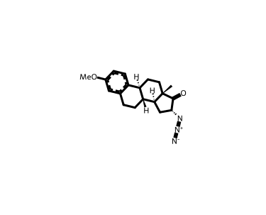 COc1ccc2c(c1)CC[C@@H]1[C@@H]2CC[C@]2(C)C(=O)[C@H](N=[N+]=[N-])C[C@@H]12